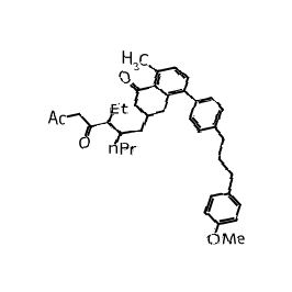 CCCC(CC1CC(=O)c2c(C)ccc(-c3ccc(CCCc4ccc(OC)cc4)cc3)c2C1)C(CC)C(=O)CC(C)=O